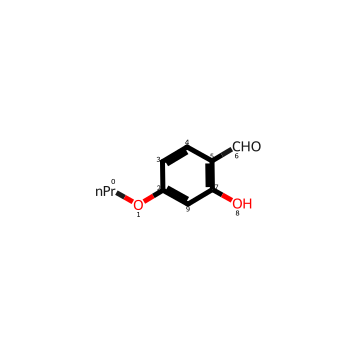 CCCOc1ccc(C=O)c(O)c1